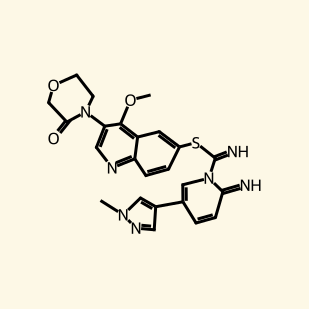 COc1c(N2CCOCC2=O)cnc2ccc(SC(=N)n3cc(-c4cnn(C)c4)ccc3=N)cc12